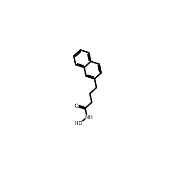 O=C(CCCc1ccc2ccccc2c1)NO